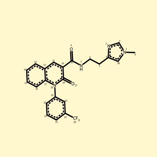 Cn1cnc(CCNC(=O)c2cc3ccccc3n(-c3cccc(C(F)(F)F)c3)c2=O)c1